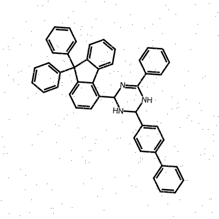 c1ccc(C2=NC(c3cccc4c3-c3ccccc3C4(c3ccccc3)c3ccccc3)NC(c3ccc(-c4ccccc4)cc3)N2)cc1